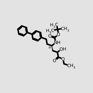 CCOC(=O)C(O)C[C@@H](CCc1ccc(-c2ccccc2)cc1)NC(=O)OC(C)(C)C